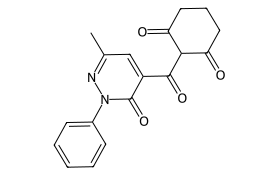 Cc1cc(C(=O)C2C(=O)CCCC2=O)c(=O)n(-c2ccccc2)n1